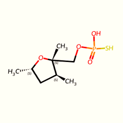 C[C@H]1C[C@H](C)[C@@](C)(COP(=O)(O)S)O1